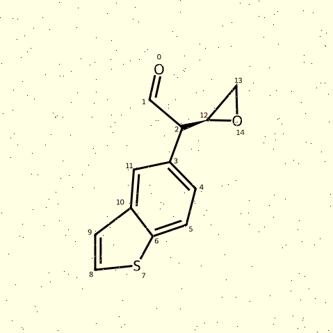 O=CC(c1ccc2sccc2c1)[C@H]1CO1